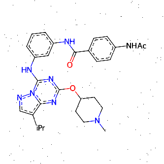 CC(=O)Nc1ccc(C(=O)Nc2cccc(Nc3nc(OC4CCN(C)CC4)nc4c(C(C)C)cnn34)c2)cc1